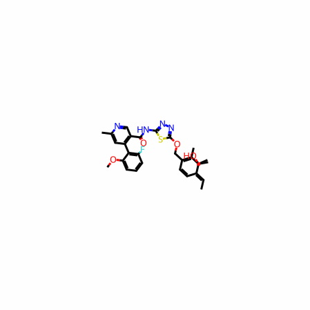 C\C=C(/C=C\C(COc1nnc(NC(=O)c2cnc(C)cc2-c2c(F)cccc2OC)s1)=C(\C)CC)C(C)O